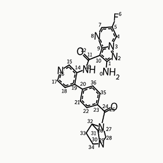 Nc1nn2cc(F)cnc2c1C(=O)Nc1cnccc1-c1ccc(C(=O)N2CCN3CCC2CC3)cc1